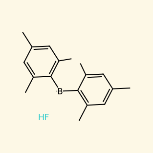 Cc1cc(C)c([B]c2c(C)cc(C)cc2C)c(C)c1.F